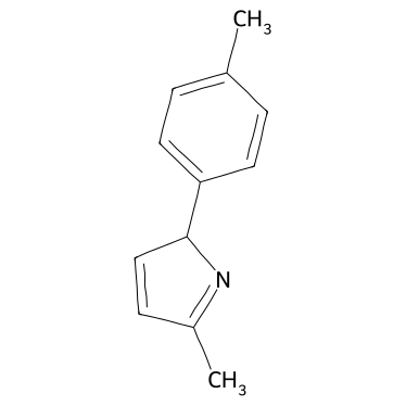 CC1=NC(c2ccc(C)cc2)C=C1